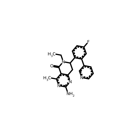 CCN1C(=O)c2c(C)nc(N)nc2CC1c1ccc(F)cc1-c1cccnc1